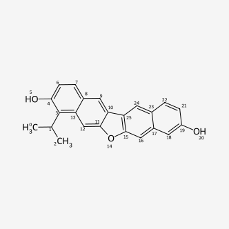 CC(C)c1c(O)ccc2cc3c(cc12)oc1cc2cc(O)ccc2cc13